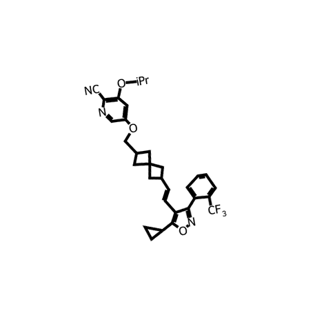 CC(C)Oc1cc(OCC2CC3(CC(C=Cc4c(-c5ccccc5C(F)(F)F)noc4C4CC4)C3)C2)cnc1C#N